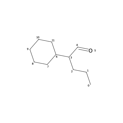 CCCC(C=O)C1CCCCC1